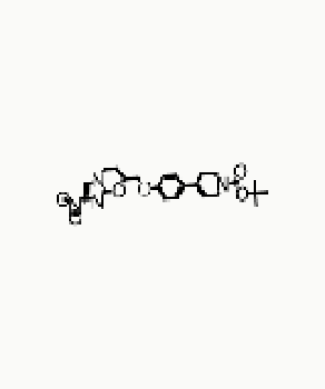 CC(C)(C)OC(=O)N1CC=C(c2ccc(OCC3CCn4cc([N+](=O)[O-])nc4O3)cc2)CC1